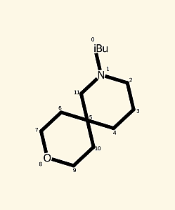 CCC(C)N1CCCC2(CCOCC2)C1